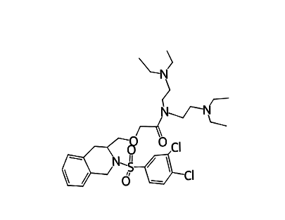 CCN(CC)CCN(CCN(CC)CC)C(=O)COCC1Cc2ccccc2CN1S(=O)(=O)c1ccc(Cl)c(Cl)c1